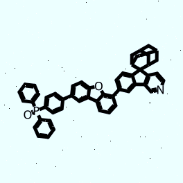 O=P(c1ccccc1)(c1ccccc1)c1ccc(-c2ccc3oc4c(-c5ccc6c(c5)-c5cnccc5C65C6CC7CC(C6)CC5C7)cccc4c3c2)cc1